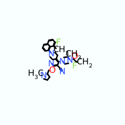 C=C(F)C(=O)N1CCN(c2c(C#N)c(OCC3CCCN3C)nc3c2CCN(c2cccc4ccc(F)c(C)c24)C3)CC1C